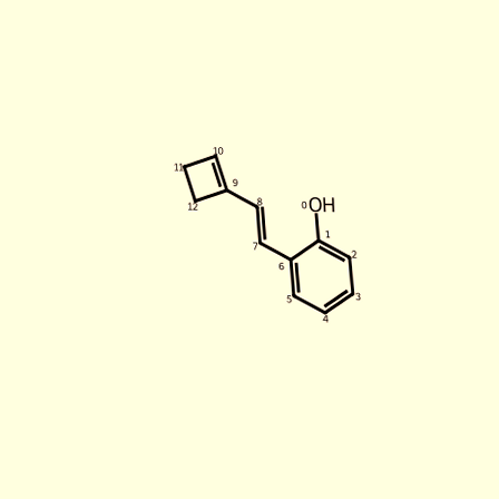 Oc1ccccc1C=CC1=CCC1